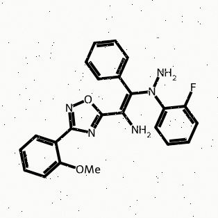 COc1ccccc1-c1noc(/C(N)=C(\c2ccccc2)N(N)c2ccccc2F)n1